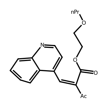 CCCOCCOC(=O)C(=Cc1ccnc2ccccc12)C(C)=O